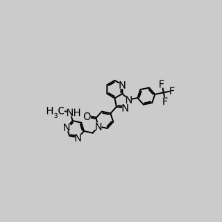 CNc1cc(Cn2ccc(-c3nn(-c4ccc(C(F)(F)F)cc4)c4ncccc34)cc2=O)ncn1